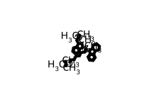 CC(C)(C)OCCCCCC[S@](C)(C1CC(CS(C)(C)C)c2ccccc21)C1c2ccccc2C2CCCCC21